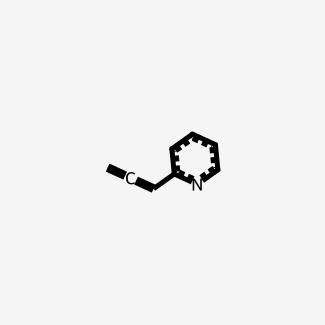 C=C=Cc1ccccn1